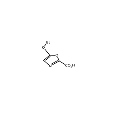 CCOc1cnc(C(=O)O)o1